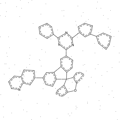 c1ccc(-c2cccc(-c3nc(-c4ccccc4)nc(-c4ccc5c(c4)-c4cc(-c6ccc7cccnc7c6)ccc4C54c5ccccc5Oc5ccccc54)n3)c2)cc1